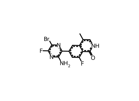 Cc1c[nH]c(=O)c2c(F)cc(-c3nc(Br)c(F)nc3N)cc12